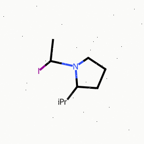 CC(C)C1CCCN1C(C)I